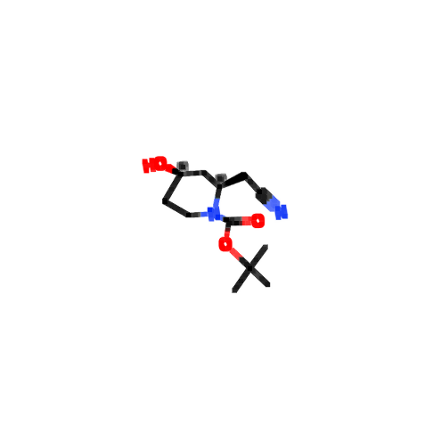 CC(C)(C)OC(=O)N1CC[C@@H](O)C[C@H]1CC#N